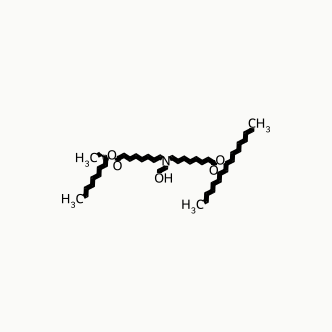 CCCCCCCCC(CCCCCCCC)OC(=O)CCCCCCCN(CCO)CCCCCCCC(=O)O[C@H](CC)CCCCCCCC